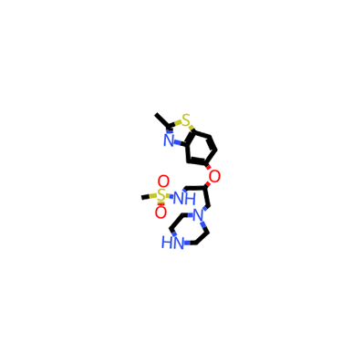 Cc1nc2cc(OC(CNS(C)(=O)=O)CN3CCNCC3)ccc2s1